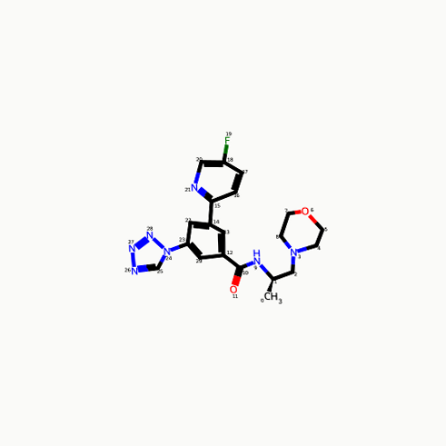 C[C@H](CN1CCOCC1)NC(=O)c1cc(-c2ccc(F)cn2)cc(-n2cnnn2)c1